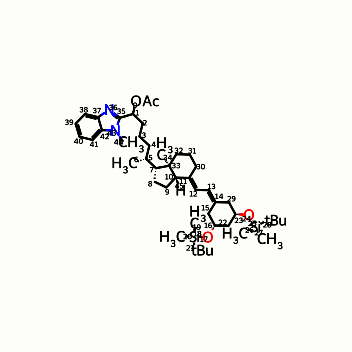 CC(=O)OC(CCC[C@@H](C)[C@H]1CC[C@H]2/C(=C/C=C3C[C@@H](O[Si](C)(C)C(C)(C)C)C[C@H](O[Si](C)(C)C(C)(C)C)C3)CCC[C@]12C)c1nc2ccccc2n1C